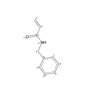 C=CC(=O)NCc1ccccc1